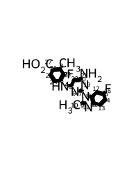 Cc1cc(Nc2nc(-n3c(C)nc4ccc(F)cc43)nc(N)c2F)ccc1C(=O)O